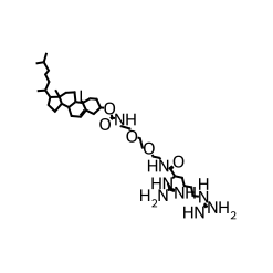 CC(C)CCCC(C)C1CCC2C3CC=C4CC(OC(=O)NCCOCCOCCNC(=O)C(CCCCNC(=N)N)NC(=N)N)CCC4(I)C3CCC12C